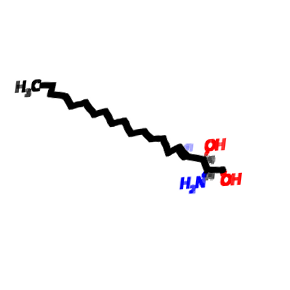 CCCCCCCCCCCCCCC/C=C/[C@H](O)[C@H](N)CO